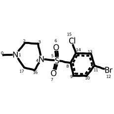 CN1CCN(S(=O)(=O)c2ccc(Br)cc2Cl)CC1